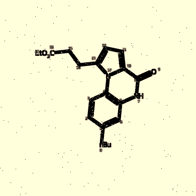 CCCCc1ccc2c(c1)[nH]c(=O)c1ccc(CCC(=O)OCC)n12